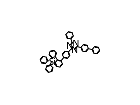 c1ccc(-c2ccc(-c3nc(-c4ccccc4)nc(-c4ccc(-c5cccc6c5-c5ccccc5[Si]6(c5ccccc5)c5ccccc5)cc4)n3)cc2)cc1